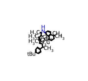 C=C(Nc1ccc2c(c1)C(C)(C)CCC2(C)C)C(C)C(C)C(C)(C)CCC(C)c1ccc(C(C)(C)C)cc1